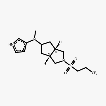 CN(c1cc[nH]c1)C1C[C@@H]2CN(S(=O)(=O)CCC(F)(F)F)C[C@@H]2C1